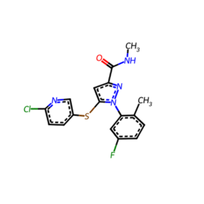 CNC(=O)c1cc(Sc2ccc(Cl)nc2)n(-c2cc(F)ccc2C)n1